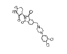 O=C1CCC(N2C(=O)c3ccc(CN4CCN(c5ccc(Cl)c(Cl)c5)CC4)cc3C2=O)C(=O)N1